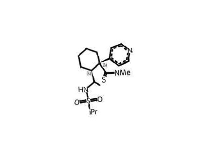 CNC(=S)[C@@]1(c2ccncc2)CCCC[C@@H]1C(C)NS(=O)(=O)C(C)C